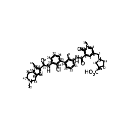 Cc1c(NC(=O)c2cc(CN3CC[C@@H](C(=O)O)C3)cn(C)c2=O)cccc1-c1cccc(NC(=O)c2nc3c(n2C)CCN(C)C3)c1Cl